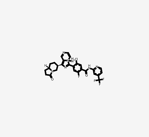 N[N+]12C=CN=CC1=C([C@@H]1CC[C@H]3CCC(=O)N3C1)N=C2c1cc(F)c(C(=O)Nc2cc(C(F)(F)F)ccn2)cc1Cl